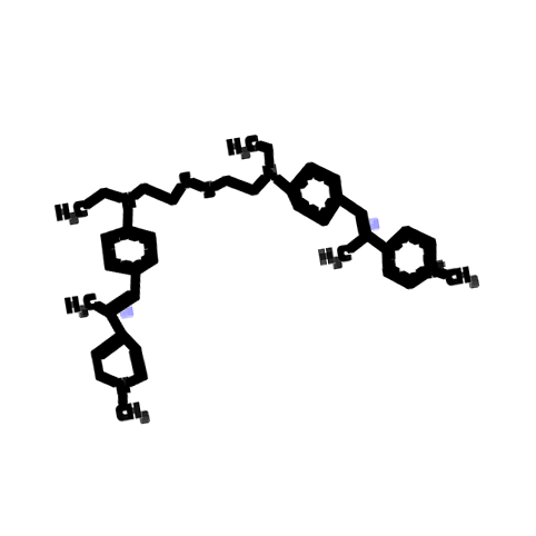 CCN(CCSSCCN(CC)c1ccc(/C=C(\C)c2cc[n+](C)cc2)cc1)c1ccc(/C=C(\C)C2=CCN(C)C=C2)cc1